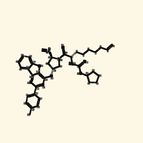 C=CCCCCC[C@H](NC(=O)OC1CCCC1)C(=O)N1C[C@H](Oc2nc(-c3ccc(C)cc3)nc3c2oc2ccccc23)C[C@H]1C(=O)O